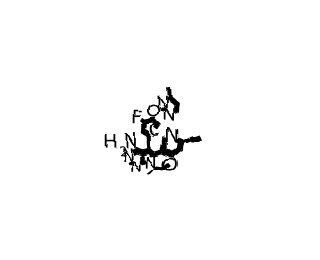 C#Cc1cc2c(cn1)-c1c(-c3ccc(Oc4nccc(C)n4)c(F)c3)c3c(N)ncnc3n1[C@H](C)CO2